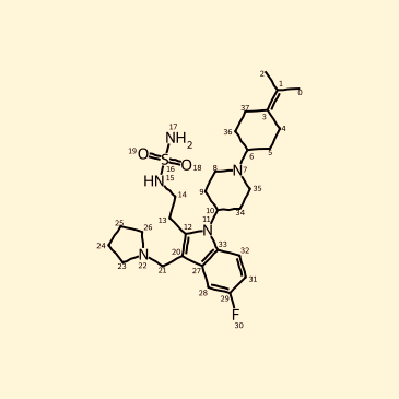 CC(C)=C1CCC(N2CCC(n3c(CCNS(N)(=O)=O)c(CN4CCCC4)c4cc(F)ccc43)CC2)CC1